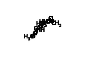 COc1ccc(C(=O)Nc2ccc(NC(=S)Nc3ccc(OC)c(Cl)c3)cc2)cc1